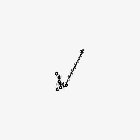 CC(C)(C)OC(=O)CCOCCOCCOCCOCCOCCOCCOCCOCCOCCCc1cccc(C(=O)Nc2ccc(N3CCCCC3)cc2C(=O)Nc2ccc(-c3ccc(OC4CCCCC4)nc3)cc2)c1